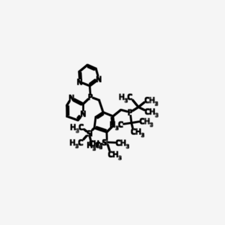 CC(C)(C)P(Cc1cc([Si](C)(C)C)c([Si](C)(C)C)cc1CP(c1ncccn1)c1ncccn1)C(C)(C)C